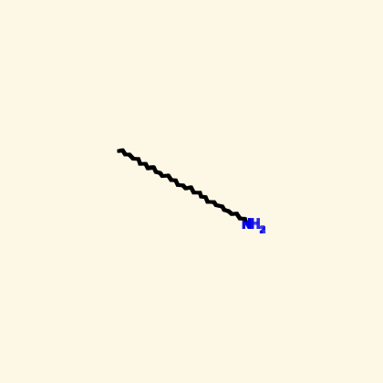 CCCCCCCCC=CCCCCCCCCCCCCCCCCCCCCCCCCN